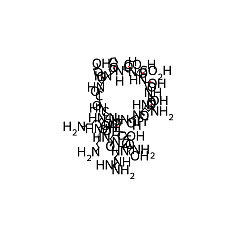 CC(C)CC1NC(=O)[C@H](C(C)C)NC(=O)C(CC(N)=O)NC(=O)[C@H](CO)NC(=O)C(CO)NC(=O)[C@H](CC(=O)O)NC(=O)C(CC(=O)O)NC(=O)[C@H](Cc2ccccc2)NC(=O)C(Cc2ccc(O)cc2)NC(=O)CCC(=O)NCC(C(=O)NC(CCCCN)C(=O)N[C@@H](CCCCN)C(=O)NC(Cc2ccc(O)cc2)C(=O)N[C@@H](CCCNC(=N)N)C(=O)NC(CO)C(N)=O)NC1=O